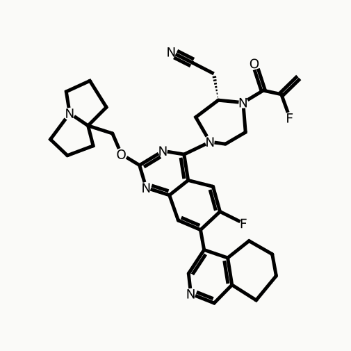 C=C(F)C(=O)N1CCN(c2nc(OCC34CCCN3CCC4)nc3cc(-c4cncc5c4CCCC5)c(F)cc23)C[C@@H]1CC#N